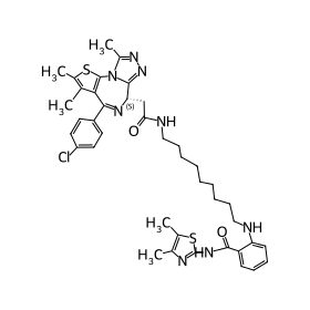 Cc1nc(NC(=O)c2ccccc2NCCCCCCCCCNC(=O)C[C@@H]2N=C(c3ccc(Cl)cc3)c3c(sc(C)c3C)-n3c(C)nnc32)sc1C